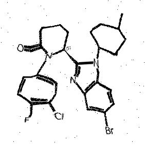 CC1CCC(n2c([C@@H]3CCCC(=O)N3c3ccc(F)c(Cl)c3)nc3cc(Br)ccc32)CC1